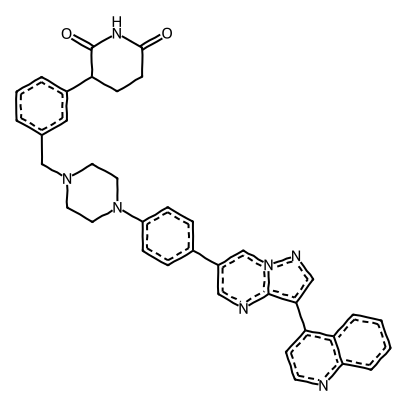 O=C1CCC(c2cccc(CN3CCN(c4ccc(-c5cnc6c(-c7ccnc8ccccc78)cnn6c5)cc4)CC3)c2)C(=O)N1